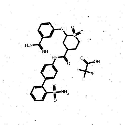 N=C(N)c1cccc(NC2CC(C(=O)Nc3ccc(-c4ccccc4S(N)(=O)=O)cc3)CCS2(=O)=O)c1.O=C(O)C(F)(F)F